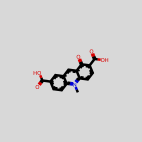 Cn1c2ccc(C(=O)O)c(=O)c-2cc2cc(C(=O)O)ccc21